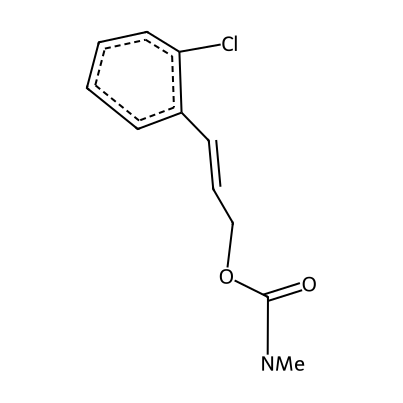 CNC(=O)OCC=Cc1ccccc1Cl